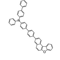 c1ccc(-c2ccc(N(c3ccccc3)c3ccc(-c4ccc(-c5ccc6c(ccc7oc8ccccc8c76)c5)cc4)cc3)cc2)cc1